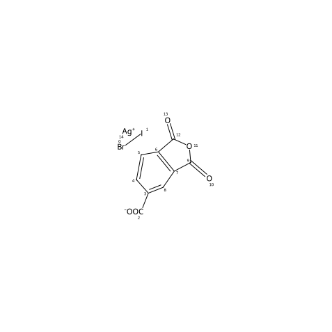 BrI.O=C([O-])c1ccc2c(c1)C(=O)OC2=O.[Ag+]